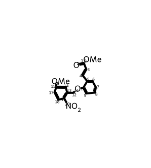 COC(=O)C=Cc1ccccc1OCc1cc(OC)ccc1[N+](=O)[O-]